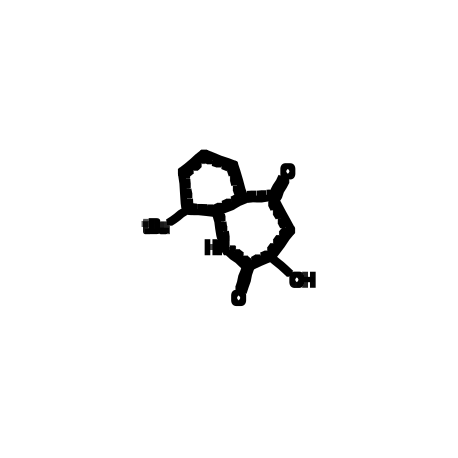 CC(C)(C)c1cccc2c(=O)cc(O)c(=O)[nH]c12